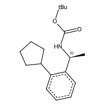 C[C@H](NC(=O)OC(C)(C)C)c1ccccc1C1CCCC1